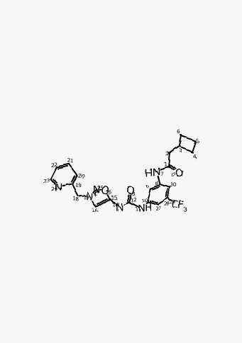 O=C(CC1CCC1)Nc1cc(NC(=O)[N-]c2c[n+](Cc3ccccn3)no2)cc(C(F)(F)F)c1